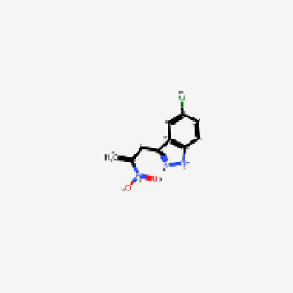 C=C(Cc1n[nH]c2ccc(Cl)cc12)[N+](=O)[O-]